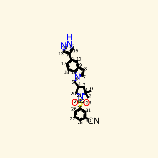 CC1(C)CC(Cn2ccc3cc(-c4cn[nH]c4)ccc32)CN1S(=O)(=O)c1cccc(C#N)c1